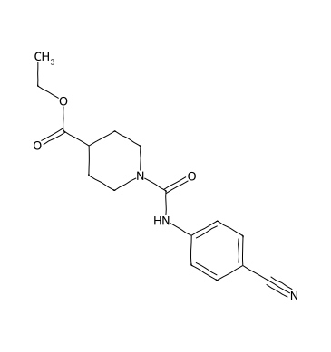 CCOC(=O)C1CCN(C(=O)Nc2ccc(C#N)cc2)CC1